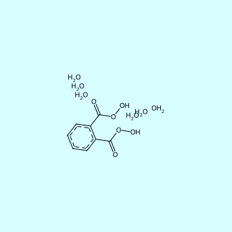 O.O.O.O.O.O.O=C(OO)c1ccccc1C(=O)OO